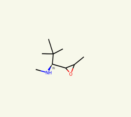 CN[C@H](C1OC1C)C(C)(C)C